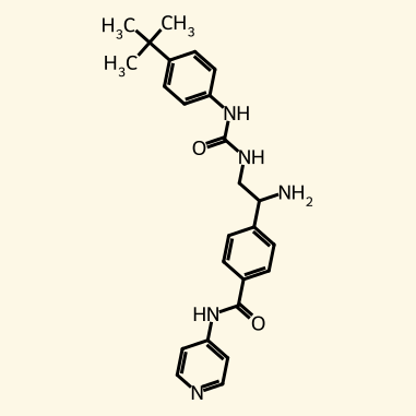 CC(C)(C)c1ccc(NC(=O)NCC(N)c2ccc(C(=O)Nc3ccncc3)cc2)cc1